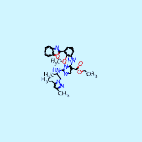 CCOC(=O)c1cnc(NC(C)Cn2nc(C)cc2C)nc1Nc1cccc(-c2nc3ccccc3o2)c1OC